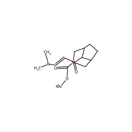 CN(C)C=CC(=O)C1C2CCC1CN(C(=O)OC(C)(C)C)C2